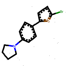 Brc1ccc(-c2ccc(N3CCCC3)cc2)s1